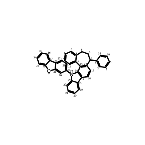 c1ccc(C2CCc3ccccc3-c3c2ccc2c4ccccc4n(-c4ccc5c(c4)oc4ccccc45)c32)cc1